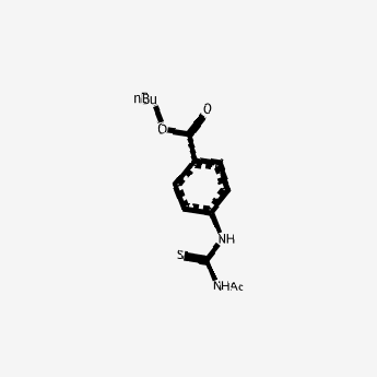 CCCCOC(=O)c1ccc(NC(=S)NC(C)=O)cc1